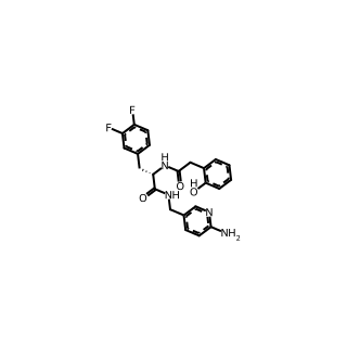 Nc1ccc(CNC(=O)[C@H](Cc2ccc(F)c(F)c2)NC(=O)Cc2ccccc2O)cn1